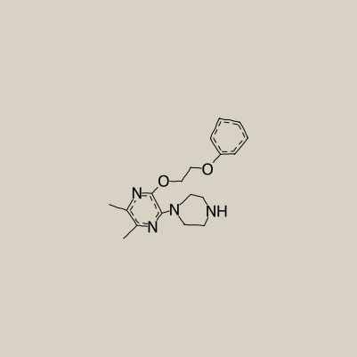 Cc1nc(OCCOc2ccccc2)c(N2CCNCC2)nc1C